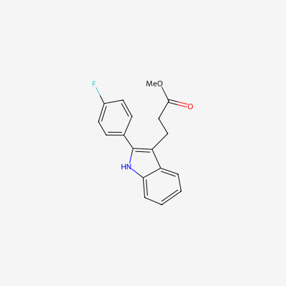 COC(=O)CCc1c(-c2ccc(F)cc2)[nH]c2ccccc12